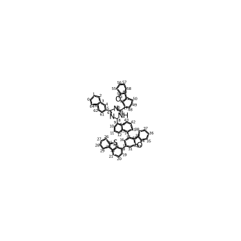 c1ccc2cc(C3=NC(c4cccc5c(-c6cc(-c7cccc8c7sc7ccccc78)cc7oc8ccccc8c67)cccc45)NC(c4cccc5c4oc4ccccc45)=N3)ccc2c1